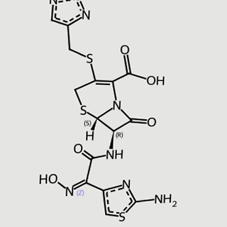 Nc1nc(/C(=N/O)C(=O)N[C@@H]2C(=O)N3C(C(=O)O)=C(SCc4cnsn4)CS[C@@H]23)cs1